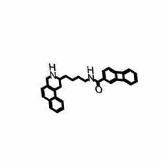 O=C(NCCCCC1Cc2c(ccc3ccccc23)CN1)c1ccc2c(c1)-c1ccccc1-2